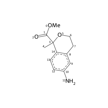 COC(=O)C1(C)OCCc2cc(N)ccc21